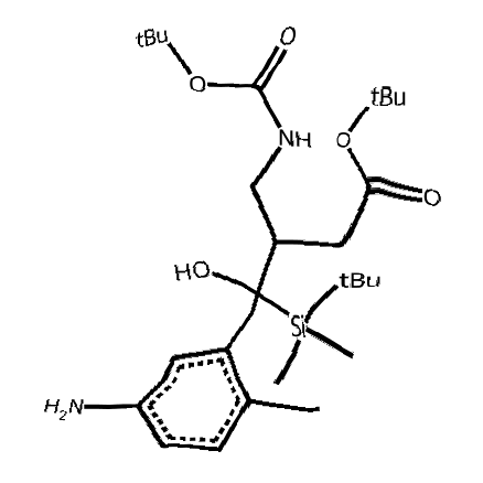 Cc1ccc(N)cc1C(O)(C(CNC(=O)OC(C)(C)C)CC(=O)OC(C)(C)C)[Si](C)(C)C(C)(C)C